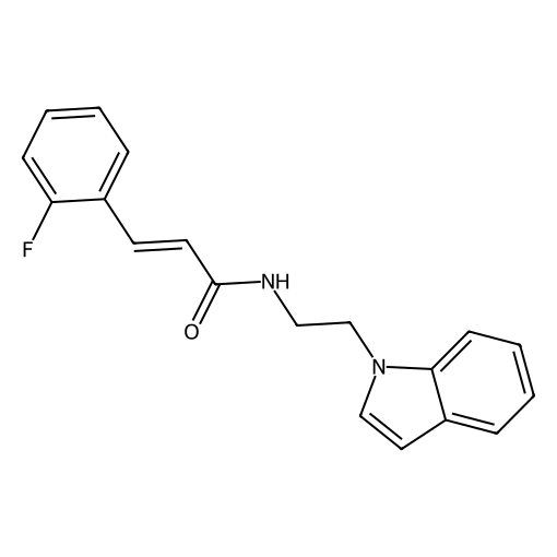 O=C(/C=C/c1ccccc1F)NCCn1ccc2ccccc21